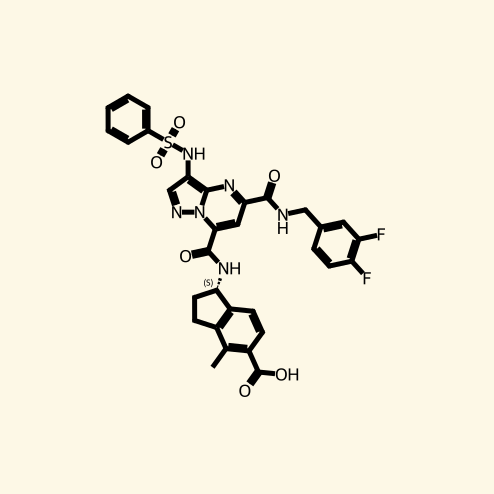 Cc1c(C(=O)O)ccc2c1CC[C@@H]2NC(=O)c1cc(C(=O)NCc2ccc(F)c(F)c2)nc2c(NS(=O)(=O)c3ccccc3)cnn12